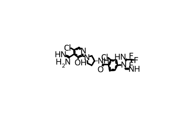 N=CN(C(=N)C(F)(F)F)c1ccc(C(=O)N[C@@H]2CCN(c3ncc(Cl)c(C(=N)N)c3O)C2)c(Cl)c1